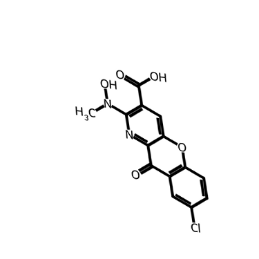 CN(O)c1nc2c(=O)c3cc(Cl)ccc3oc2cc1C(=O)O